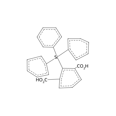 O=C(O)c1cccc(C(=O)O)c1[Si](c1ccccc1)(c1ccccc1)c1ccccc1